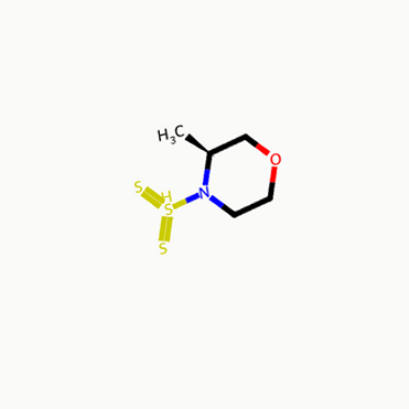 C[C@H]1COCCN1[SH](=S)=S